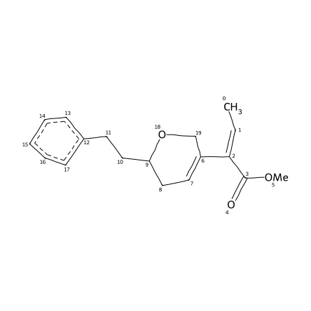 C/C=C(/C(=O)OC)C1=CCC(CCc2ccccc2)OC1